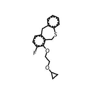 Fc1ccc2c(c1OCCOC1CC1)CSc1ccccc1C2